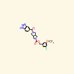 O=C(OCc1cc(F)cc(OC(F)(F)F)c1)N1CC2CN(C(=O)c3ccc4[nH]nnc4c3)CC2C1